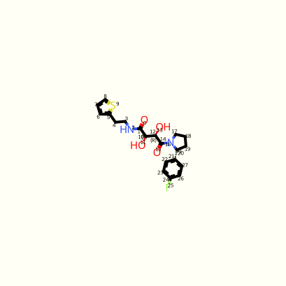 O=C(NCCc1cccs1)[C@H](O)[C@@H](O)C(=O)N1CCC[C@@H]1c1ccc(F)cc1